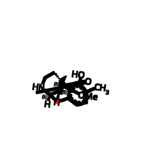 COC1C[C@@H]2[C@@H]3Cc4ccc(C)c(O)c4[C@]2(CCN3)CC1=O